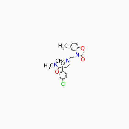 Cc1ccc2c(c1)N(CCN1CCC(C(=O)N(C)C)(c3ccc(Cl)cc3)CC1)C(=O)CO2